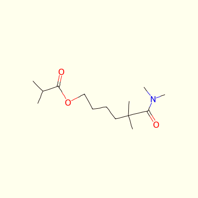 CC(C)C(=O)OCCCCC(C)(C)C(=O)N(C)C